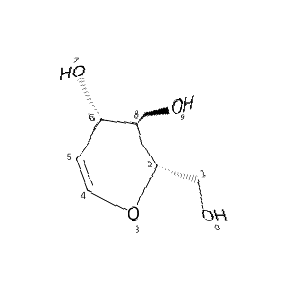 OC[C@@H]1OC=C[C@H](O)[C@H]1O